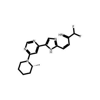 C[C@@H]1CCCCN1c1cc(-c2cnc(/C=C\C(=N)C(F)F)[nH]2)ncn1